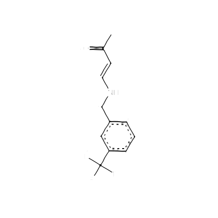 CC(=O)C=CNCc1cccc(C(F)(F)F)c1